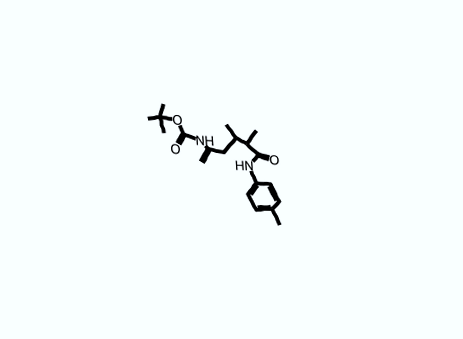 C=C(CC(C)C(C)C(=O)Nc1ccc(C)cc1)NC(=O)OC(C)(C)C